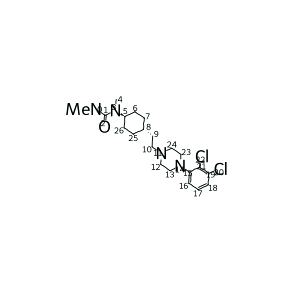 CNC(=O)N(C)[C@H]1CC[C@H](CCN2CCN(c3cccc(Cl)c3Cl)CC2)CC1